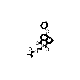 C=C(C)C(=O)OCCN1C(=O)c2cccc3c(OC4CCCCC4)ccc(c23)C1=O